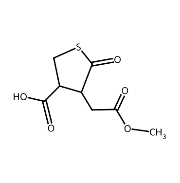 COC(=O)CC1C(=O)SCC1C(=O)O